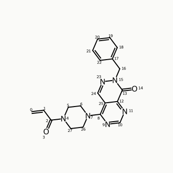 C=CC(=O)N1CCN(c2ncnc3c(=O)n(Cc4ccccc4)ncc23)CC1